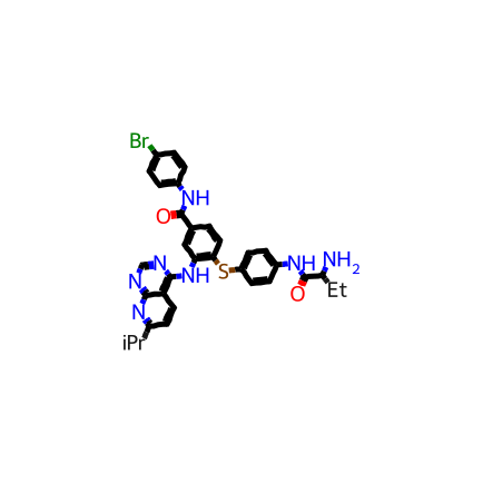 CCC(N)C(=O)Nc1ccc(Sc2ccc(C(=O)Nc3ccc(Br)cc3)cc2Nc2ncnc3nc(C(C)C)ccc23)cc1